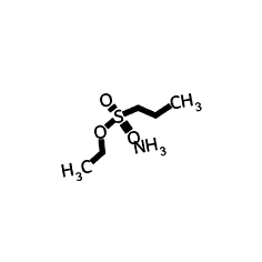 CCCS(=O)(=O)OCC.N